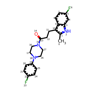 Cc1[nH]c2cc(F)ccc2c1CCC(=O)N1CCN(c2ccc(F)cc2)CC1